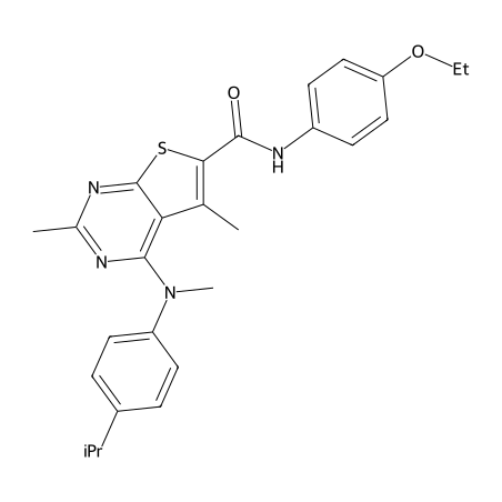 CCOc1ccc(NC(=O)c2sc3nc(C)nc(N(C)c4ccc(C(C)C)cc4)c3c2C)cc1